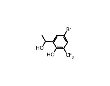 CC(O)c1cc(Br)cc(C(F)(F)F)c1O